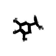 NC(=O)c1cc(O)c(Cl)c(Cl)c1